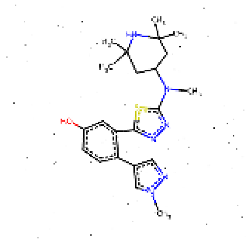 CN(c1nnc(-c2cc(O)ccc2-c2cnn(C)c2)s1)C1CC(C)(C)NC(C)(C)C1